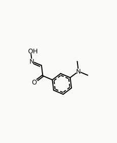 CN(C)c1cccc(C(=O)C=NO)c1